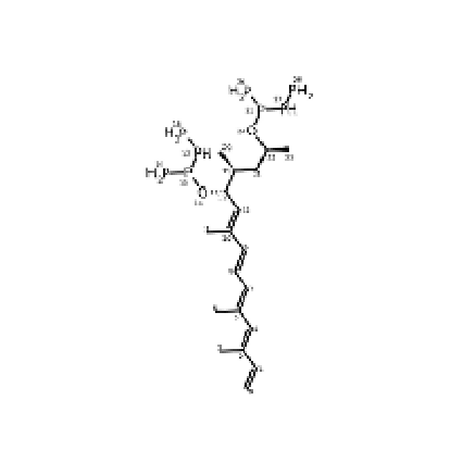 C=C/C(C)=C/C(C)=C/C=C/C(C)=C/[C@H](OP(P)PP)[C@@H](C)C[C@H](C)OP(P)PP